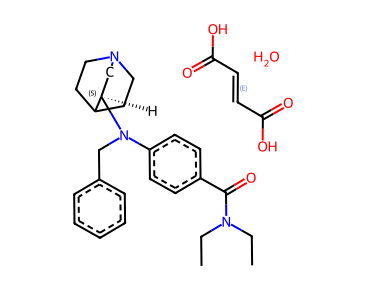 CCN(CC)C(=O)c1ccc(N(Cc2ccccc2)[C@@H]2CN3CCC2CC3)cc1.O.O=C(O)/C=C/C(=O)O